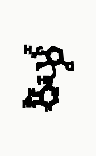 Cc1ccc(Cl)c(CNc2ncnc3[nH]cnc23)c1F